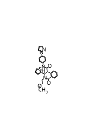 COCCN1C(=O)c2ccccc2C(C(=O)Nc2ccc(-n3cccn3)cc2)C1c1cccs1